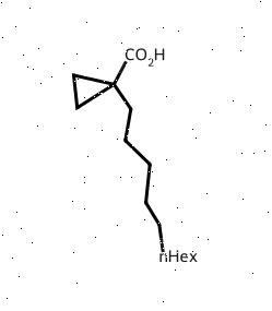 CCCCCCCCCCCC1(C(=O)O)CC1